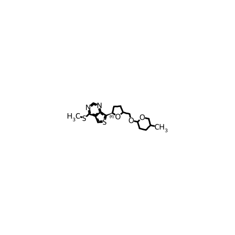 CSc1ncnc2c([C@H]3CCC(COC4CCC(C)CO4)O3)scc12